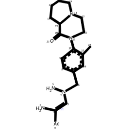 CC(=O)/C(N)=C/N(N)Cc1ccc(N2CCN3CCCCC3C2=O)c(C)c1